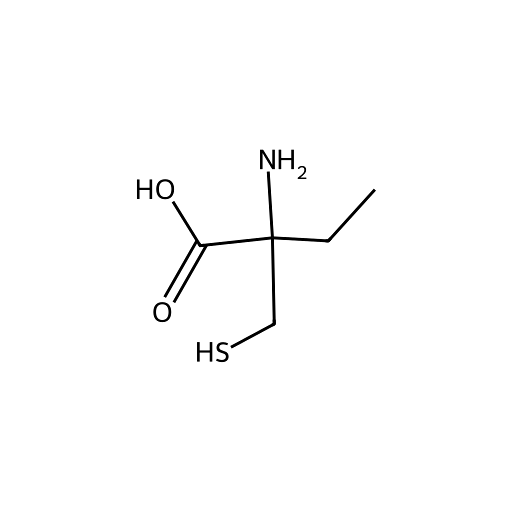 CCC(N)(CS)C(=O)O